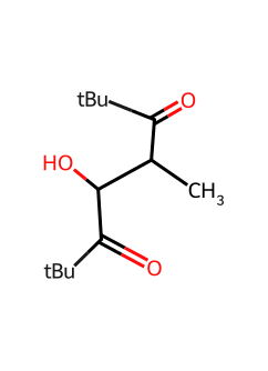 CC(C(=O)C(C)(C)C)C(O)C(=O)C(C)(C)C